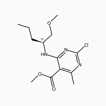 CCC[C@@H](COC)Nc1nc(Cl)nc(C)c1C(=O)OC